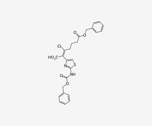 O=C(CCC/C(Cl)=C(/C(=O)O)c1csc(NC(=O)OCc2ccccc2)n1)OCc1ccccc1